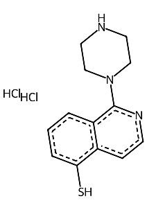 Cl.Cl.Sc1cccc2c(N3CCNCC3)nccc12